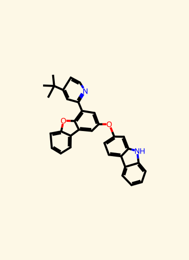 CC(C)(C)c1ccnc(-c2cc(Oc3ccc4c(c3)[nH]c3ccccc34)cc3c2oc2ccccc23)c1